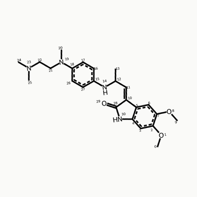 COc1cc2c(cc1OC)C(=CC(C)Nc1ccc(N(C)CCN(C)C)cc1)C(=O)N2